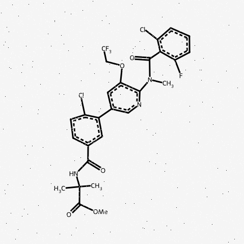 COC(=O)C(C)(C)NC(=O)c1ccc(Cl)c(-c2cnc(N(C)C(=O)c3c(F)cccc3Cl)c(OCC(F)(F)F)c2)c1